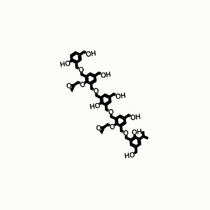 CC(C)c1cc(CO)cc(COCc2cc(CO)cc(COCc3cc(CO)cc(COCc4cc(CO)cc(COCc5cc(CO)ccc5O)c4OCC4CO4)c3O)c2OCC2CO2)c1O